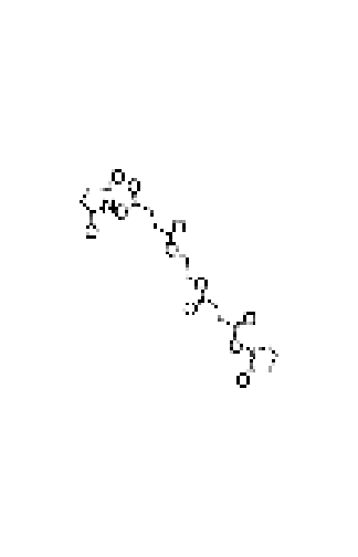 O=C(CCC(=O)ON1CCCC1=O)OCCOC(=O)CCC(=O)ON1C(=O)CCC1=O